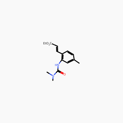 CCOC(=O)C=Cc1ccc(C)cc1NC(=O)N(C)C